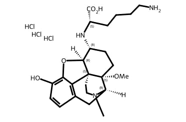 CO[C@@]12CC[C@@H](N[C@@H](CCCCN)C(=O)O)[C@@H]3Oc4c(O)ccc5c4[C@@]31CCN(C)[C@@H]2C5.Cl.Cl.Cl